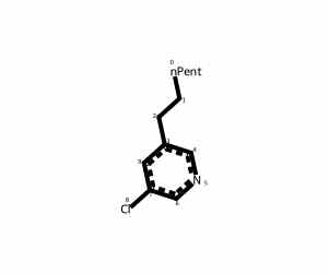 CCCCCCCc1cncc(Cl)c1